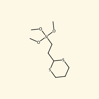 CO[Si](CCC1SCCCS1)(OC)OC